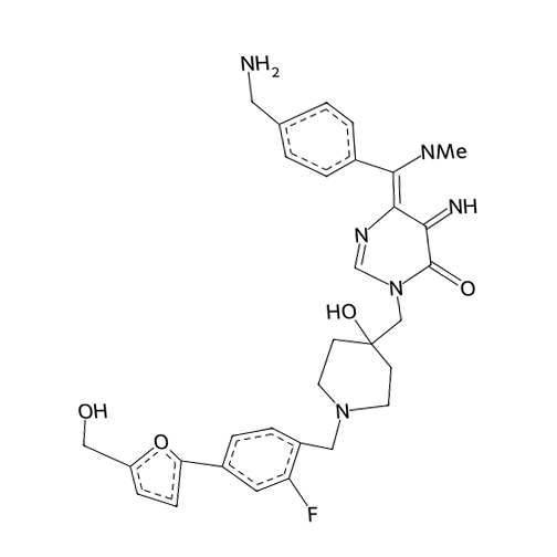 CN/C(=C1/N=CN(CC2(O)CCN(Cc3ccc(-c4ccc(CO)o4)cc3F)CC2)C(=O)C1=N)c1ccc(CN)cc1